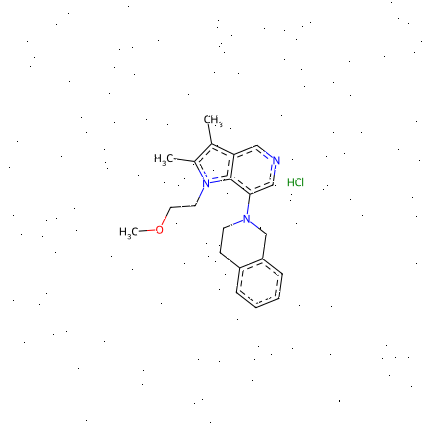 COCCn1c(C)c(C)c2cncc(N3CCc4ccccc4C3)c21.Cl